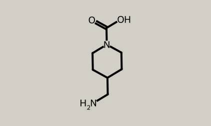 NCC1CCN(C(=O)O)CC1